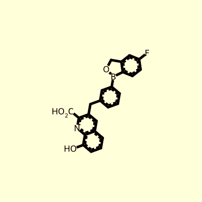 O=C(O)c1nc2c(O)cccc2cc1Cc1cccc(B2OCc3cc(F)ccc32)c1